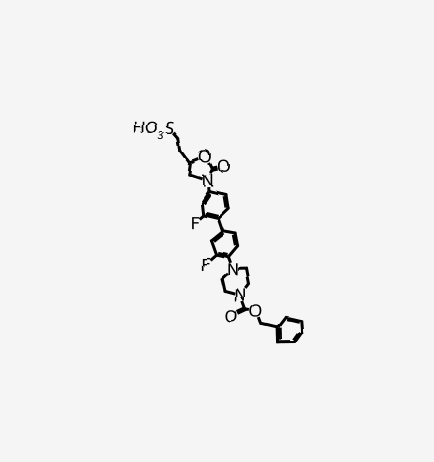 O=C(OCc1ccccc1)N1CCN(c2ccc(-c3ccc(N4CC(CCS(=O)(=O)O)OC4=O)cc3F)cc2F)CC1